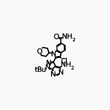 CC(C)(C)n1nc(-c2c(Cl)c3ccc(C(N)=O)cc3n2C2CCOCC2)c2c(N)ncnc21